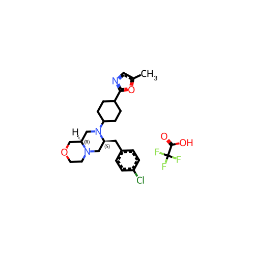 Cc1cnc(C2CCC(N3C[C@@H]4COCCN4C[C@@H]3Cc3ccc(Cl)cc3)CC2)o1.O=C(O)C(F)(F)F